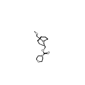 COCC12CCCN1C(COC(=O)N1CCOCC1)CC2